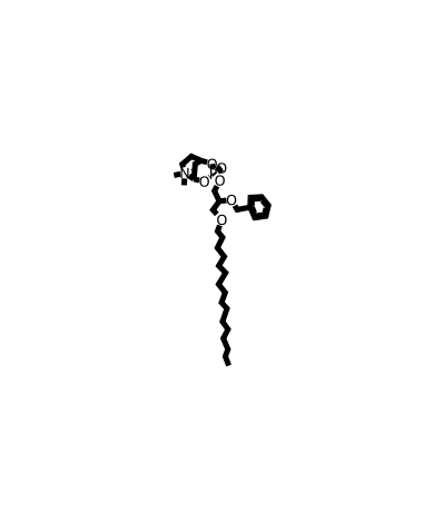 CCCCCCCCCCCCCCCCOCC(COP1(=O)OC2CC[N+](C)(C)C(C2)O1)OCc1ccccc1